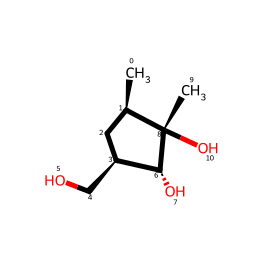 C[C@@H]1C[C@H](CO)[C@@H](O)[C@@]1(C)O